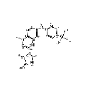 COc1ccc(Oc2ccc(C(F)(F)F)cn2)cc1NC(=O)[C@@H]1CNC(=O)N1C